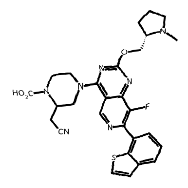 CN1CCC[C@H]1COc1nc(N2CCN(C(=O)O)C(CC#N)C2)c2cnc(-c3cccc4ccsc34)c(F)c2n1